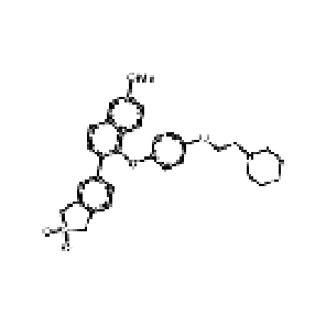 COc1ccc2c(Oc3ccc(OCCN4CCCCC4)cc3)c(-c3ccc4c(c3)CS(=O)(=O)C4)ccc2c1